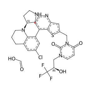 O=CO.O=c1ccn(C[C@@H](O)C(F)(F)F)c(=O)n1Cc1cc2nccc(-c3cc(Cl)cc4c3N([C@H]3CCNC3)CCC4)c2s1